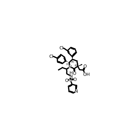 CCC(CNS(=O)(=O)c1cccnc1)N1C(=O)[C@@](C)(CC(=O)O)C[C@H](c2cccc(Cl)c2)[C@H]1c1ccc(Cl)cc1